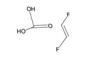 FC=CF.O=C(O)O